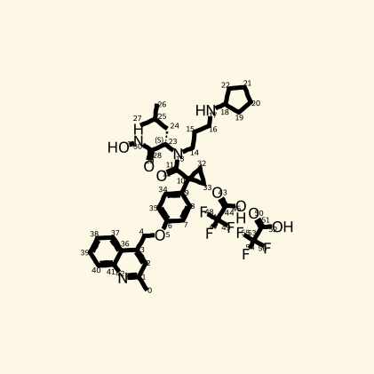 Cc1cc(COc2ccc(C3(C(=O)N(CCCNC4CCCC4)[C@@H](CC(C)C)C(=O)NO)CC3)cc2)c2ccccc2n1.O=C(O)C(F)(F)F.O=C(O)C(F)(F)F